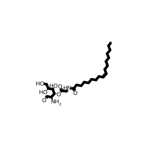 CCCCCCCC/C=C\CCCCCCCC(=O)NCC(=O)O[C@@H]([C@H](O)[C@H](O)CO)[C@@H](N)C=O